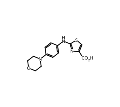 O=C(O)c1csc(Nc2ccc(N3CCOCC3)cc2)n1